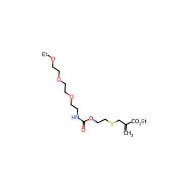 C=C(CSCCOC(=O)NCCOCCOCCOCC)C(=O)OCC